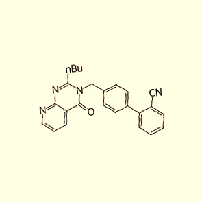 CCCCc1nc2ncccc2c(=O)n1Cc1ccc(-c2ccccc2C#N)cc1